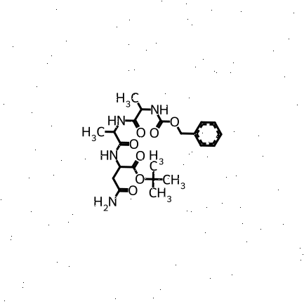 CC(NC(=O)OCc1ccccc1)C(=O)NC(C)C(=O)NC(CC(N)=O)C(=O)OC(C)(C)C